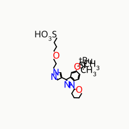 CC(C)(C)[Si](C)(C)Oc1ccc2c(c1)c(-c1cnn(CCCOCCCCS(=O)(=O)O)c1)nn2C1CCCCO1